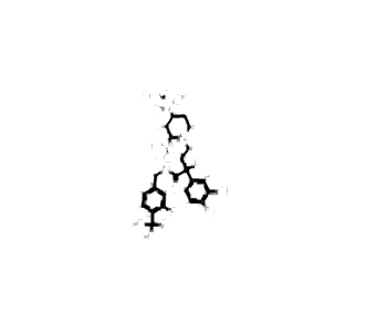 CN(Cc1ccc(C(F)(F)F)c(F)c1)C(=O)C(F)(CCN1CCC(S(C)(=O)=O)CC1N)c1ccc(Cl)c(Cl)c1